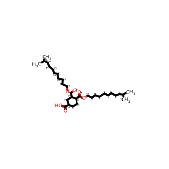 CC(C)CCCCCCCCCOC(=O)C1CCC(C(=O)O)CC1C(=O)OCCCCCCCCCC(C)C